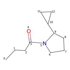 CCCC(=O)N1CCCC1C1CC1